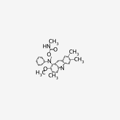 CNC(=O)OCN(c1ccccc1)c1c(OC)c(C)cc2nc3cc(C)c(C)cc3cc12